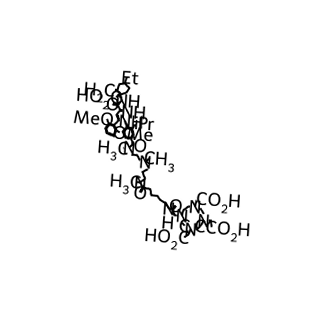 C=C1CC(CC)CCC1(NC(=O)C(=N)/C=C(\Nc1ccc(C(=O)N(C)CCCN(C)CCCN(C)C(=O)CCCCCNC(=O)CN2CCN(CC(=O)O)CCN(CC(=O)O)CCN(CC(=O)O)CC2)cc1C(C)C)c1c(OC)cccc1OC)C(=O)O